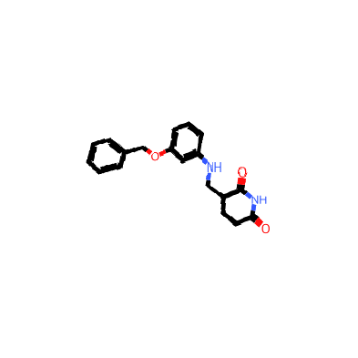 O=C1CCC(CNc2cccc(OCc3ccccc3)c2)C(=O)N1